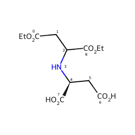 CCOC(=O)CC(N[C@@H](CC(=O)O)C(=O)O)C(=O)OCC